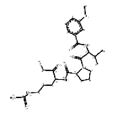 COc1cccc(C(=O)NC(C(=O)N2CCC[C@H]2C(=O)NC(CCCNC(=N)N)C(=O)CF)C(C)C)c1